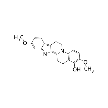 COc1ccc2c(c1)=NC1=C3CCc4c(ccc(OC)c4O)N3CCC=21